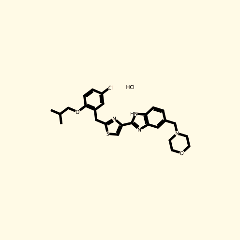 CC(C)COc1ccc(Cl)cc1Cc1nc(-c2nc3cc(CN4CCOCC4)ccc3[nH]2)cs1.Cl